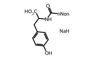 CCCCCCCCCC(=O)NC(Cc1ccc(O)cc1)C(=O)O.[NaH]